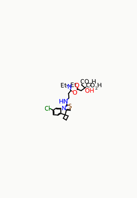 CCN(CC)C(CCNc1nc(C2(c3ccc(Cl)cc3)CCC2)cs1)OC(=O)CC(O)(CC(=O)O)C(=O)O